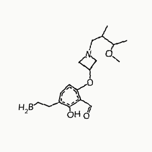 BCCc1ccc(OC2CN(CC(C)C(C)OC)C2)c(C=O)c1O